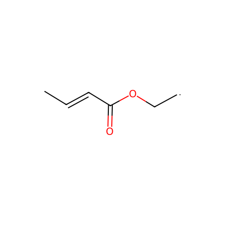 [CH2]COC(=O)C=CC